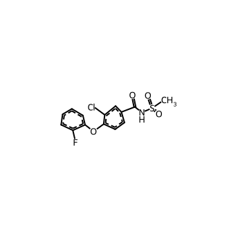 CS(=O)(=O)NC(=O)c1ccc(Oc2ccccc2F)c(Cl)c1